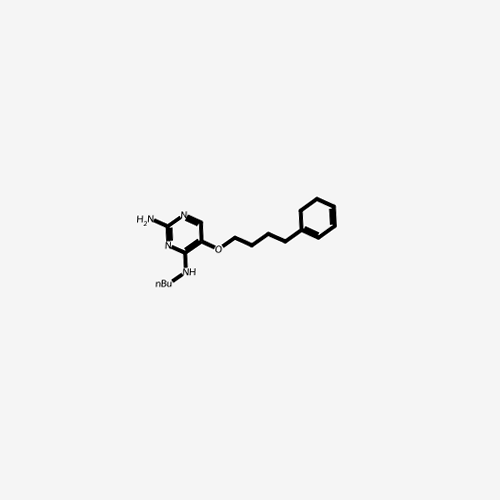 CCCCNc1nc(N)ncc1OCCCCC1=CC=CCC1